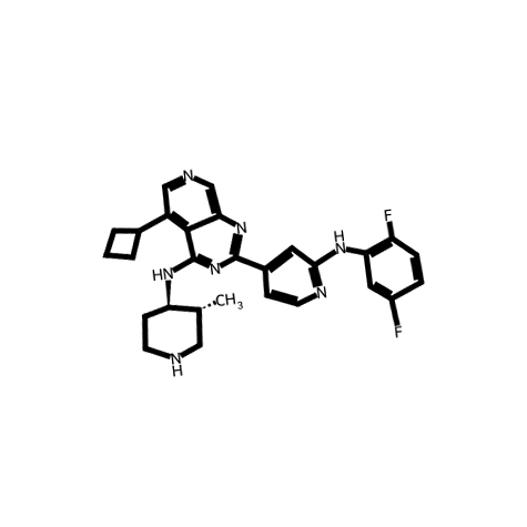 C[C@@H]1CNCC[C@H]1Nc1nc(-c2ccnc(Nc3cc(F)ccc3F)c2)nc2cncc(C3CCC3)c12